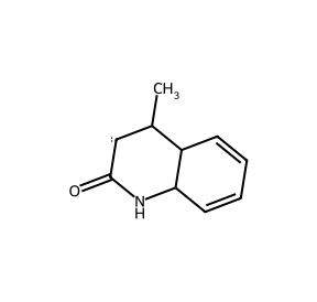 CC1[C]C(=O)NC2C=CC=CC12